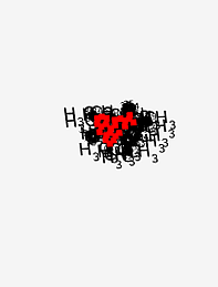 CC(C)(C)c1ccc(Oc2ccccc2O)c(P(c2cc(C(C)(C)C)cc3c2Oc2c(P(c4ccccc4)c4ccccc4)cc(C(C)(C)C)cc2C3(C)C)c2cc(C(C)(C)C)cc3c2Oc2c(P(c4ccccc4)c4ccccc4)cc(C(C)(C)C)cc2C3(C)C)c1